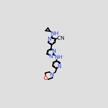 N#Cc1cc(-c2ccnc(Nc3ccc(CN4CCOCC4)nc3)n2)cnc1NC1CC1